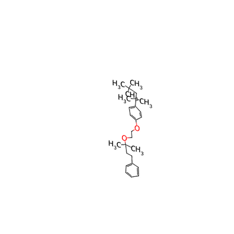 CC(C)(C)CC(C)(C)c1ccc(OCCOC(C)(C)CCc2ccccc2)cc1